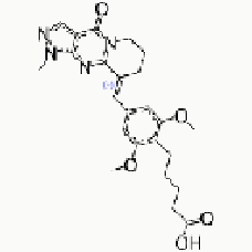 COc1cc(/C=C2\CCCn3c2nc2c(cnn2C)c3=O)cc(OC)c1CCCCC(=O)O